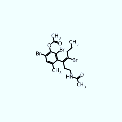 CCC/C(Br)=C(/CCNC(C)=O)c1c(C)cc(Br)c(OC(C)=O)c1Br